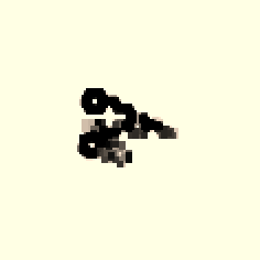 CC(C)(C)OC(=O)C[C@@H](CCCC1CCCCC1)C(=O)ON=C(N)[C@@]1(C(C)(C)C)CCCCN1C(=O)O